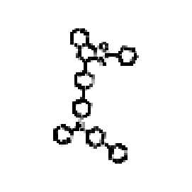 C1=Cc2c(cc(C3=CC=C(C4=CC=C(N(c5ccccc5)c5ccc(-c6ccccc6)cc5)CC4)CC3)c3nc(-c4ccccc4)oc23)CC1